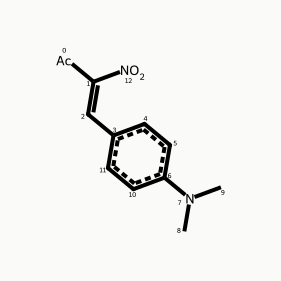 CC(=O)C(=Cc1ccc(N(C)C)cc1)[N+](=O)[O-]